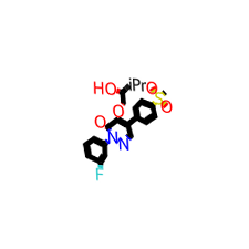 CC(C)C(O)COc1c(-c2ccc(S(C)(=O)=O)cc2)cnn(-c2cccc(F)c2)c1=O